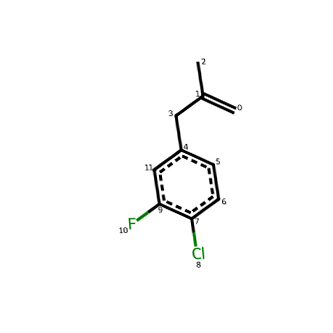 C=C(C)Cc1ccc(Cl)c(F)c1